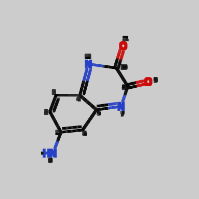 [NH]c1ccc2c(c1)=NC(=O)C(=O)N=2